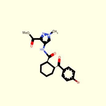 COC(=O)c1nn(C)cc1NC(=O)[C@@H]1CCCC[C@H]1C(=O)c1ccc(Br)cc1